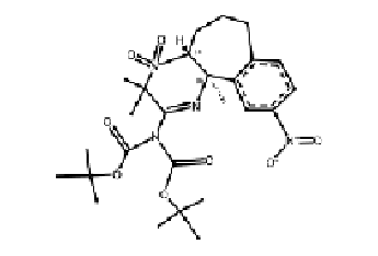 CC(C)(C)OC(=O)N(C(=O)OC(C)(C)C)C1=N[C@]2(C)c3cc([N+](=O)[O-])ccc3CCC[C@H]2S(=O)(=O)C1(C)C